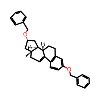 C[C@]12CC=C3c4ccc(OCc5ccccc5)cc4CC[C@H]3[C@@H]1C[C@@H](OCc1ccccc1)C2